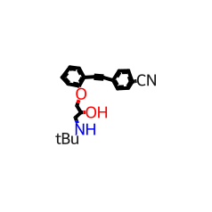 CC(C)(C)NCC(O)COc1ccccc1C#Cc1ccc(C#N)cc1